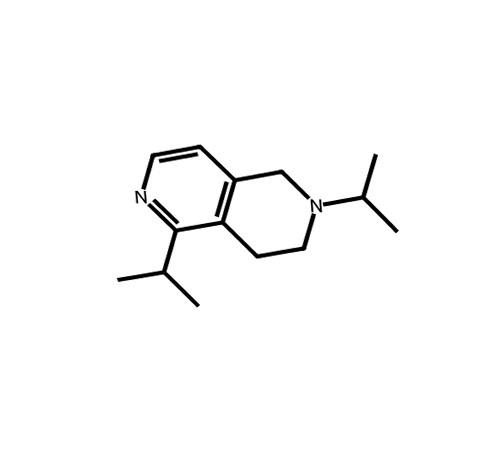 CC(C)c1nccc2c1CCN(C(C)C)C2